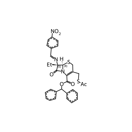 CC[C@]1(N=Cc2ccc([N+](=O)[O-])cc2)C(=O)N2C(C(=O)OC(c3ccccc3)c3ccccc3)=C(CSC(C)=O)CS[C@@H]21